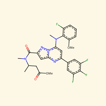 COC(=O)CC(C)N(C)C(=O)c1cc2nc(-c3cc(F)c(F)c(F)c3)cc(N(C)c3c(F)cccc3OC)n2n1